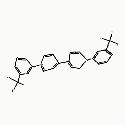 FC(F)(F)c1cccc(N2C=CC(c3cc[n+](-c4cccc(C(F)(F)F)c4)cc3)=CC2)c1